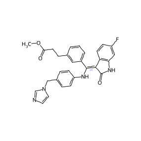 COC(=O)CCc1cccc(/C(Nc2ccc(Cn3ccnc3)cc2)=C2/C(=O)Nc3cc(F)ccc32)c1